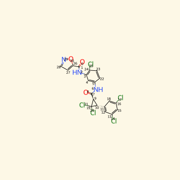 O=C(Nc1cc(NC(=O)[C@H]2[C@H](c3cc(Cl)cc(Cl)c3)C2(Cl)Cl)ccc1Cl)c1ccno1